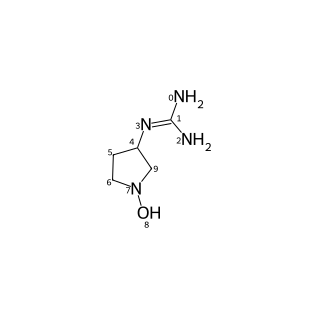 NC(N)=NC1CCN(O)C1